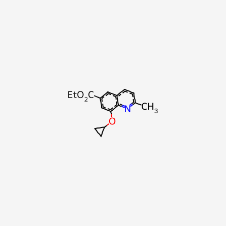 CCOC(=O)c1cc(OC2CC2)c2nc(C)ccc2c1